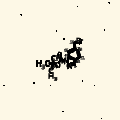 CC(C)(C)OC(=O)n1ncc2ccc(CBr)cc21